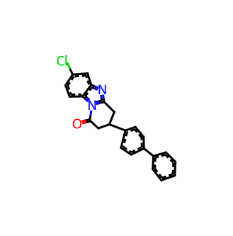 O=C1CC(c2ccc(-c3ccccc3)cc2)Cc2nc3cc(Cl)ccc3n21